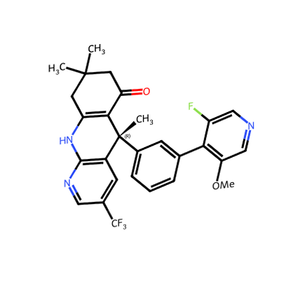 COc1cncc(F)c1-c1cccc([C@@]2(C)C3=C(CC(C)(C)CC3=O)Nc3ncc(C(F)(F)F)cc32)c1